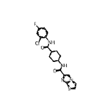 O=C(NC1CCC(C(=O)Nc2ccc(F)cc2Cl)CC1)c1cn2ccsc2n1